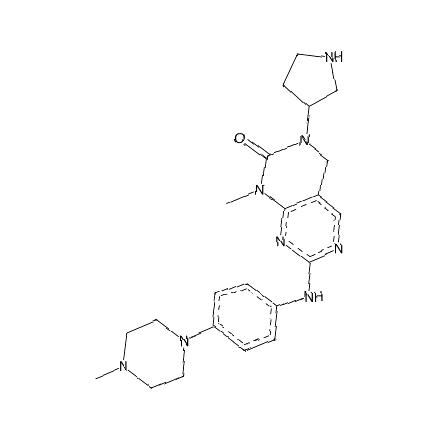 CN1CCN(c2ccc(Nc3ncc4c(n3)N(C)C(=O)N(C3CCNC3)C4)cc2)CC1